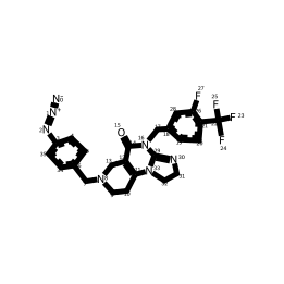 [N-]=[N+]=Nc1ccc(CN2CCC3=C(C2)C(=O)N(Cc2ccc(C(F)(F)F)c(F)c2)C2=NCCN23)cc1